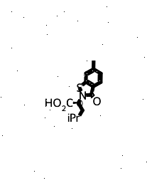 Cc1ccc2c(=O)n([C@@H](CC(C)C)C(=O)O)sc2c1